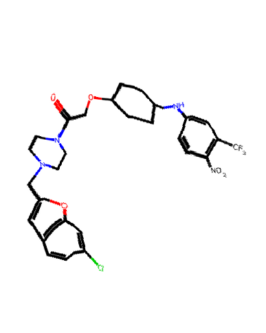 O=C(COC1CCC(Nc2ccc([N+](=O)[O-])c(C(F)(F)F)c2)CC1)N1CCN(Cc2cc3ccc(Cl)cc3o2)CC1